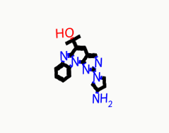 CC(C)(O)c1cc2cnc(N3CCC(N)C3)nc2n2c1nc1ccccc12